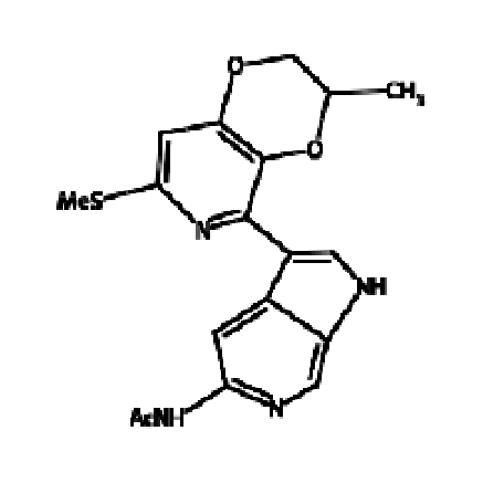 CSc1cc2c(c(-c3c[nH]c4cnc(NC(C)=O)cc34)n1)OC(C)CO2